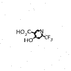 O=C(O)c1cnc(C(F)(F)F)cc1O